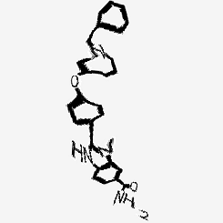 NC(=O)c1ccc2[nH]c(-c3ccc(OC4CCCN(Cc5ccccc5)C4)cc3)nc2c1